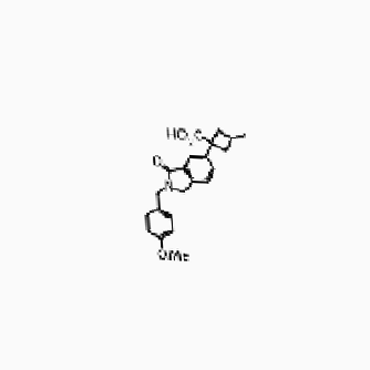 COc1ccc(CN2Cc3ccc(C4(C(=O)O)CC(C)C4)cc3C2=O)cc1